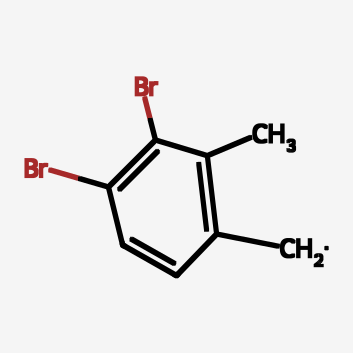 [CH2]c1ccc(Br)c(Br)c1C